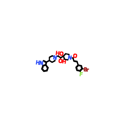 O=C(/C=C/c1ccc(F)c(Br)c1)N1CCC(O)(C(O)CN2CCC(c3c[nH]c4ccccc34)CC2)CC1